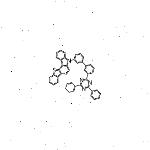 C1=CC(c2nc(-c3ccccc3)nc(-c3cccc(-c4cccc(-n5c6ccccc6c6c7sc8ccccc8c7ccc65)c4)c3)n2)=CCC1